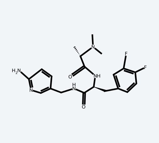 C[C@@H](C(=O)N[C@@H](Cc1ccc(F)c(F)c1)C(=O)NCc1ccc(N)nc1)N(C)C